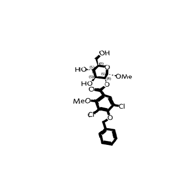 COc1c(C(=O)O[C@H]2[C@@H](OC)O[C@H](CO)[C@@H](O)[C@@H]2O)cc(Cl)c(OCc2ccccc2)c1Cl